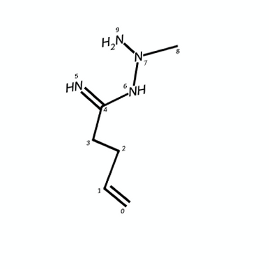 C=CCCC(=N)NN(C)N